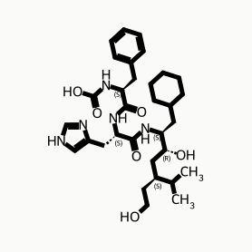 CC(C)[C@@H](CCO)C[C@@H](O)[C@H](CC1CCCCC1)NC(=O)[C@H](Cc1c[nH]cn1)NC(=O)[C@H](Cc1ccccc1)NC(=O)O